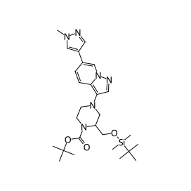 Cn1cc(-c2ccc3c(N4CCN(C(=O)OC(C)(C)C)C(CO[Si](C)(C)C(C)(C)C)C4)cnn3c2)cn1